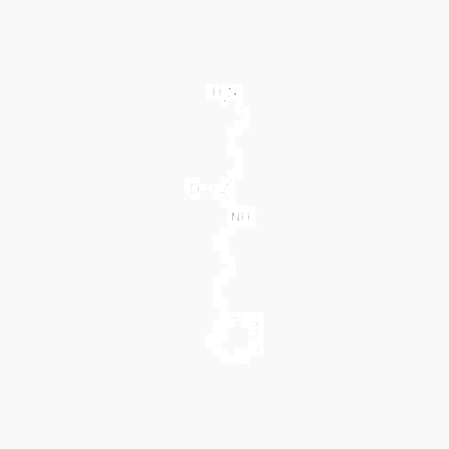 NCCCC(=O)NCCCc1cccs1